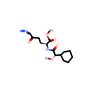 CCO[C@H](C(=O)N[C@@H](CCC(=O)C=[N+]=[N-])C(=O)OC(C)C)C1CCCCC1